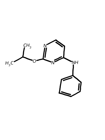 CC(C)Oc1nccc(Nc2ccccc2)n1